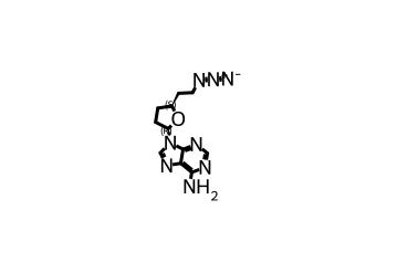 [N-]=[N+]=NCC[C@@H]1CC[C@H](n2cnc3c(N)ncnc32)O1